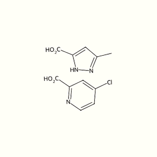 Cc1cc(C(=O)O)[nH]n1.O=C(O)c1cc(Cl)ccn1